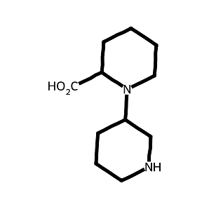 O=C(O)C1CCCCN1C1CCCNC1